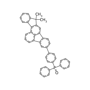 CC1(C)c2ccccc2-c2c1cc1c3c(cccc23)-c2cc(-c3ccc(P(=O)(c4ccccc4)c4ccccc4)cc3)ccc2-1